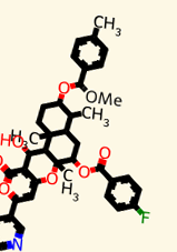 COC(OC1CCC2(C)C(CC(OC(=O)c3ccc(F)cc3)C3(C)Oc4cc(-c5cccnc5)oc(=O)c4C(O)C23)C1C)c1ccc(C)cc1